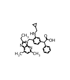 CCc1nc2c(C)cc(C)nc2n1Cc1ccc(C(C(=O)O)c2ccccc2)cc1NCC1CC1